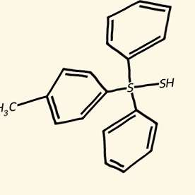 Cc1ccc(S(S)(c2ccccc2)c2ccccc2)cc1